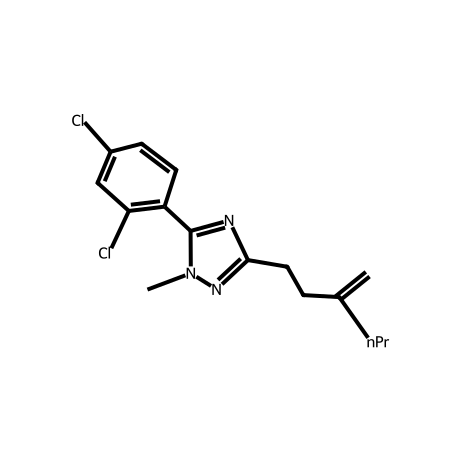 C=C(CCC)CCc1nc(-c2ccc(Cl)cc2Cl)n(C)n1